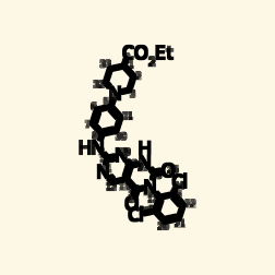 CCOC(=O)C1CCN(c2ccc(Nc3ncc4c(=O)n(-c5c(Cl)cccc5Cl)c(=O)[nH]c4n3)cc2)CC1